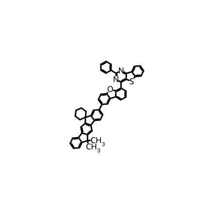 CC1(C)c2ccccc2-c2cc3c(cc21)-c1ccc(-c2ccc4oc5c(-c6nc(-c7ccccc7)nc7c6sc6ccccc67)cccc5c4c2)cc1C31CCCCC1